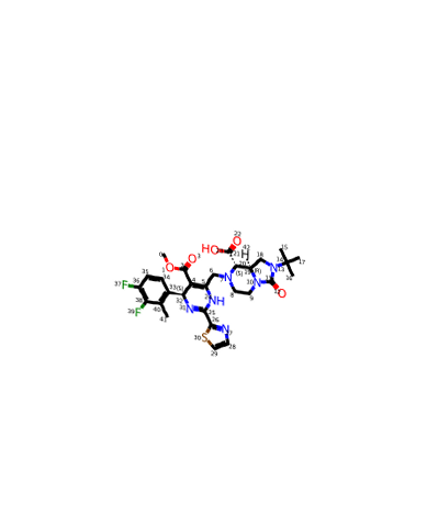 COC(=O)C1=C(CN2CCN3C(=O)N(C(C)(C)C)C[C@@H]3[C@H]2C(=O)O)NC(c2nccs2)=N[C@H]1c1ccc(F)c(F)c1C